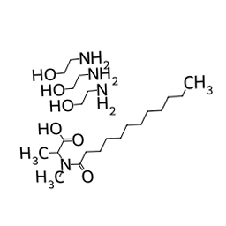 CCCCCCCCCCCC(=O)N(C)C(C)C(=O)O.NCCO.NCCO.NCCO